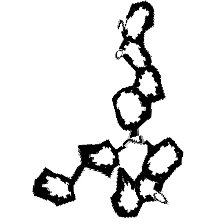 c1ccc(-c2ccc(N(c3ccc4c(ccc5c6cccnc6oc45)c3)c3cccc4oc5ccccc5c34)cc2)cc1